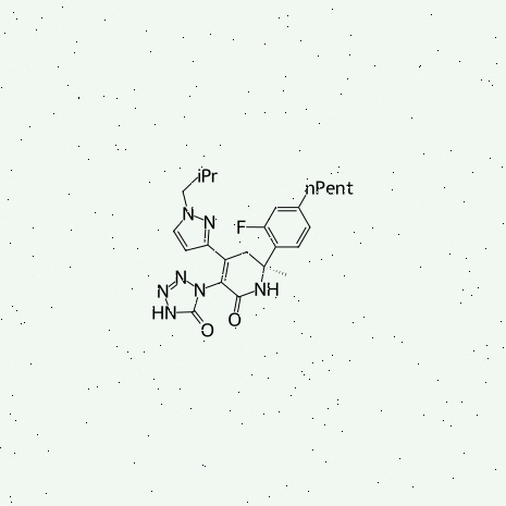 CCCCCc1ccc([C@]2(C)CC(c3ccn(CC(C)C)n3)=C(n3nn[nH]c3=O)C(=O)N2)c(F)c1